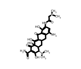 CN(C)CC(=O)Nc1cc(N)c2c(c1O)C(=O)C1=C(O)C3(O)C(=O)C(C(N)=O)=C(O)[C@@H](N(C)C)C3CC1C2